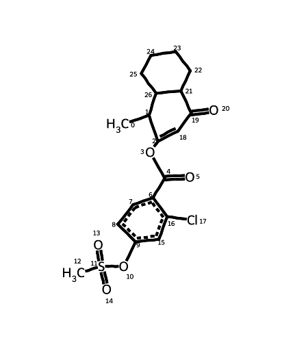 CC1C(OC(=O)c2ccc(OS(C)(=O)=O)cc2Cl)=CC(=O)C2CCCCC12